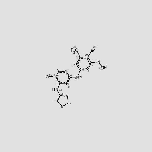 OCc1cc(Nc2ncc(Cl)c(NC3CCCC3)n2)cc(C(F)(F)F)c1Br